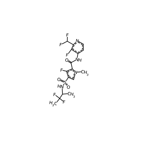 CC(NS(=O)(=O)c1cn(C)c(C(=O)Nc2ccnc(C(F)F)c2F)c1F)C(C)(F)F